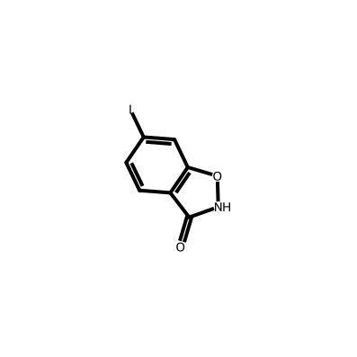 O=c1[nH]oc2cc(I)ccc12